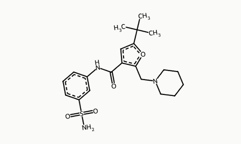 CC(C)(C)c1cc(C(=O)Nc2cccc(S(N)(=O)=O)c2)c(CN2CCCCC2)o1